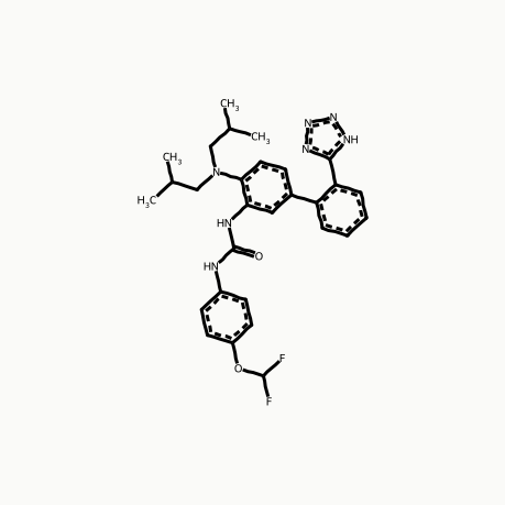 CC(C)CN(CC(C)C)c1ccc(-c2ccccc2-c2nnn[nH]2)cc1NC(=O)Nc1ccc(OC(F)F)cc1